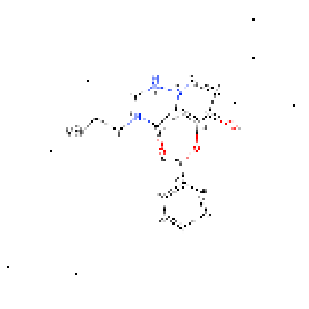 CNCCN1CNn2ccc(=O)c(OCc3ccccc3)c2C1=O